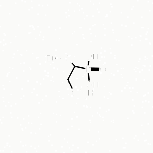 CCOC(=O)C(CC(=O)O)P(=O)(O)O